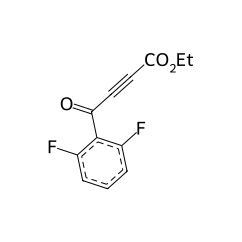 CCOC(=O)C#CC(=O)c1c(F)cccc1F